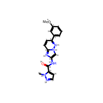 COc1cccc(-c2ccc3nc(NC(=O)c4ccnn4C)cn3n2)c1